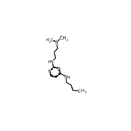 CCCCNc1ccnc(NCCCN(C)C)n1